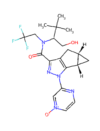 CC(C)(C)C(CO)N(CC(F)(F)F)C(=O)c1nn(-c2c[n+]([O-])ccn2)c2c1C[C@@H]1C[C@H]21